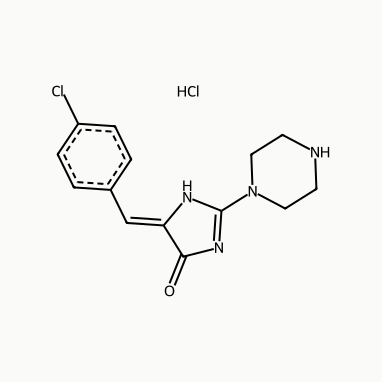 Cl.O=C1N=C(N2CCNCC2)NC1=Cc1ccc(Cl)cc1